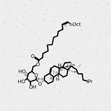 CCCCCCCC/C=C\CCCCCCCCCC(=O)OCC1O[C@@H](O[C@H]2CC[C@@]3(C)C(=CC[C@H]4[C@@H]5CC[C@H]([C@H](C)CCCC(C)C)[C@@]5(C)CC[C@@H]43)C2)C(O)C(O)[C@@H]1O